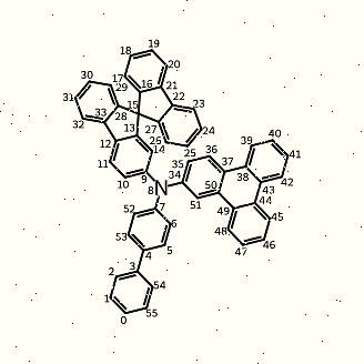 c1ccc(-c2ccc(N(c3ccc4c(c3)C3(c5ccccc5-c5ccccc53)c3ccccc3-4)c3ccc4c5ccccc5c5ccccc5c4c3)cc2)cc1